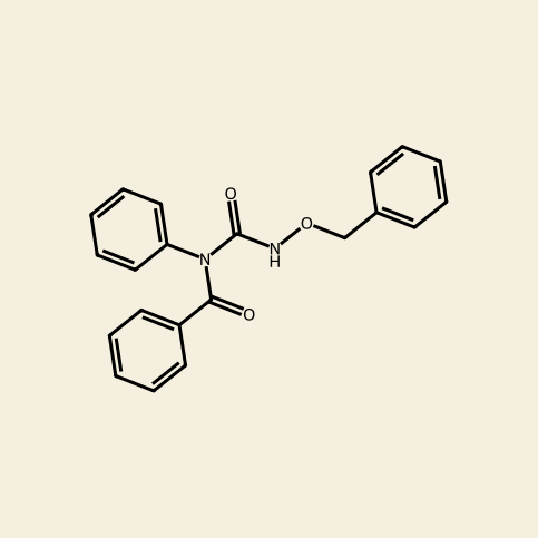 O=C(NOCc1ccccc1)N(C(=O)c1ccccc1)c1ccccc1